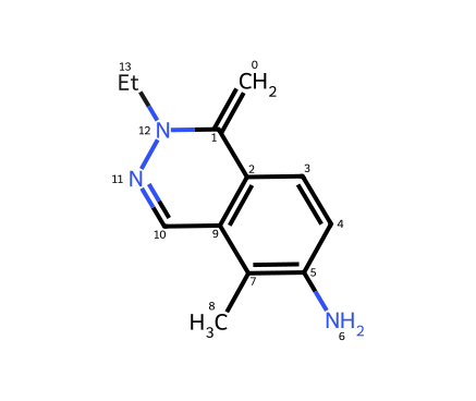 C=C1c2ccc(N)c(C)c2C=NN1CC